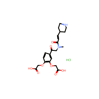 CN(CC(=O)c1ccc(OCC(=O)O)c(OCC(=O)O)c1)C(=O)/C=C/C1CCNCC1.Cl